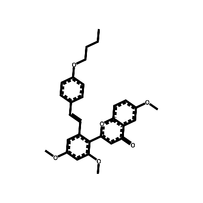 CCCCOc1ccc(C=Cc2cc(OC)cc(OC)c2-c2cc(=O)c3cc(OC)ccc3o2)cc1